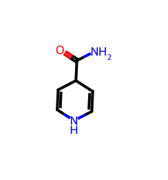 NC(=O)C1C=CNC=C1